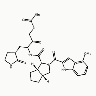 COc1cccc2[nH]c(C(=O)N3C[C@@H]4CCC[C@@H]4[C@H]3C(=O)NC(C[C@@H]3CCNC3=O)C(=O)COC(=O)C(C)(C)C)cc12